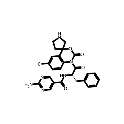 Nc1ncc(C(=O)N[C@@H](Cc2ccccc2)C(=O)N2C(=O)OC3(CCNC3)c3cc(Cl)ccc32)cn1